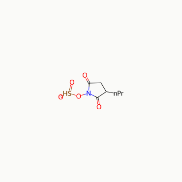 CCCC1CC(=O)N(O[SH](=O)=O)C1=O